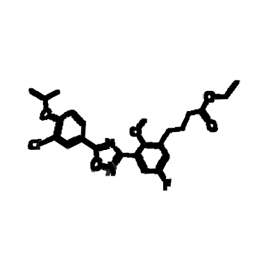 CCOC(=O)CCCc1cc(F)cc(-c2noc(-c3ccc(OC(C)C)c(Cl)c3)n2)c1OC